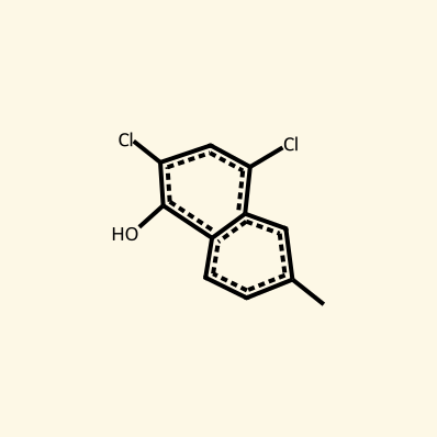 Cc1ccc2c(O)c(Cl)cc(Cl)c2c1